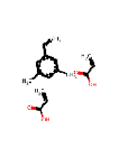 C=CC(=O)O.C=CC(=O)O.C=Cc1cc(C)cc(C)c1